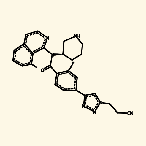 Cc1cccc2ccnc(N(C(=O)c3ccc(-c4cn(CCC#N)nn4)cc3F)[C@@H]3CCCNC3)c12